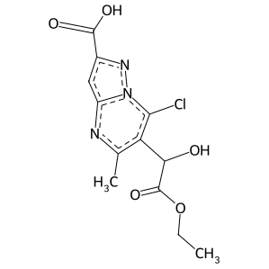 CCOC(=O)C(O)c1c(C)nc2cc(C(=O)O)nn2c1Cl